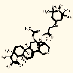 CC(=O)O[C@@H]1C[C@@]23COC[C@](C)([C@@H]2CC[C@H]2C3=CC[C@@]3(C)[C@H](C(=O)O)[C@@](C)([C@H](C)C(C)C)CC[C@]23C)[C@H]1OC(=O)CNC1CC(C)(C)N(C)C(C)(C)C1